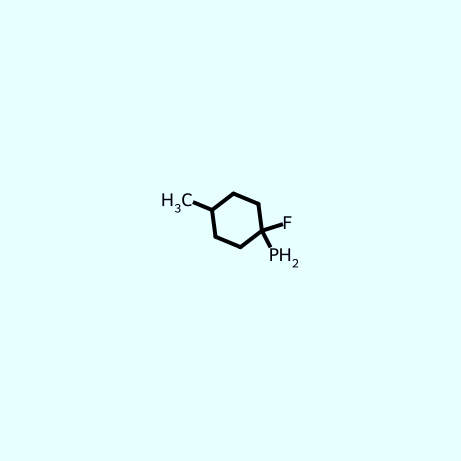 CC1CCC(F)(P)CC1